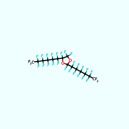 FC(F)(F)C(F)(F)C(F)(F)C(F)(F)C(F)(F)C(F)(F)C1(F)OC(F)(F)C(F)(C(F)(F)C(F)(F)C(F)(F)C(F)(F)C(F)(F)C(F)(F)F)O1